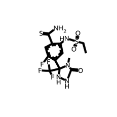 CCS(=O)(=O)Nc1cc(C2(C(F)(F)F)NNC(=O)N2C)c(F)cc1C(N)=S